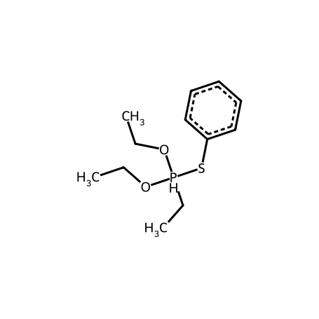 CCO[PH](CC)(OCC)Sc1ccccc1